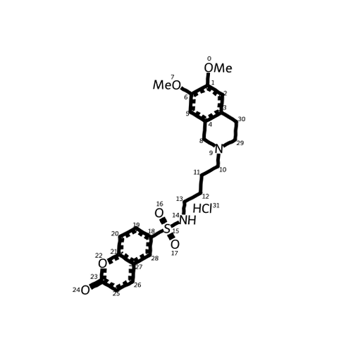 COc1cc2c(cc1OC)CN(CCCCNS(=O)(=O)c1ccc3oc(=O)ccc3c1)CC2.Cl